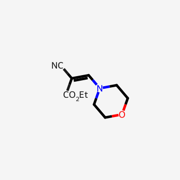 CCOC(=O)/C(C#N)=C\N1CCOCC1